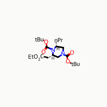 CCC[C@@H]1CN(C(=O)OC(C)(C)C)C[C@H](CC(=O)OCC)N1C(=O)OC(C)(C)C